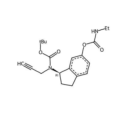 C#CCN(C(=O)OC(C)(C)C)[C@@H]1CCc2ccc(OC(=O)NCC)cc21